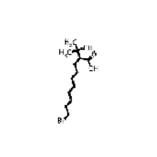 CC(C)(C)C(CCCCCCCCBr)C(=O)O